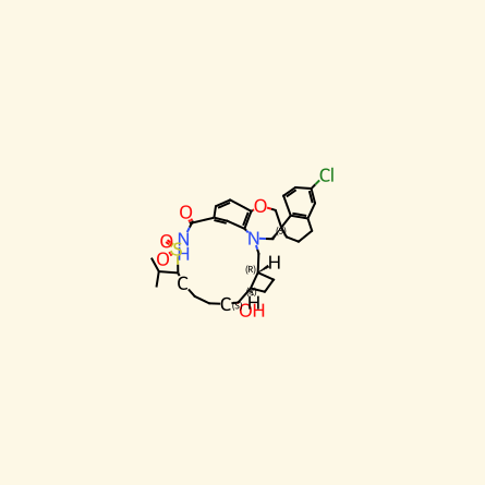 CC(C)C1CCCC[C@H](O)[C@@H]2CC[C@H]2CN2C[C@@]3(CCCc4cc(Cl)ccc43)COc3ccc(cc32)C(=O)NS1(=O)=O